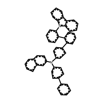 c1ccc(-c2ccc(N(c3ccc(-c4ccccc4-c4ccccc4-n4c5ccccc5c5ccccc54)cc3)c3ccc4ccccc4c3)cc2)cc1